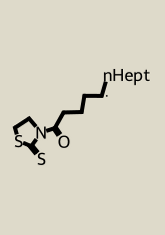 CCCCCCC[CH]CCCC(=O)N1CCSC1=S